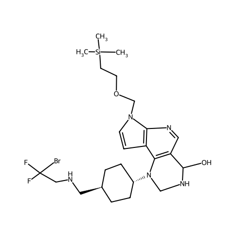 C[Si](C)(C)CCOCn1ccc2c3c(cnc21)C(O)NCN3[C@H]1CC[C@H](CNCC(F)(F)Br)CC1